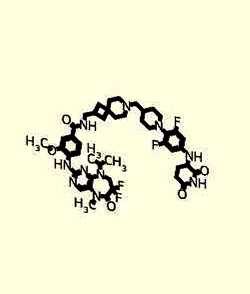 COc1cc(C(=O)NCC2CC3(CCN(CC4CCN(c5c(F)cc(NC6CCC(=O)NC6=O)cc5F)CC4)CC3)C2)ccc1Nc1ncc2c(n1)N(C(C)C)CC(F)(F)C(=O)N2C